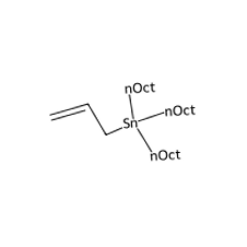 C=C[CH2][Sn]([CH2]CCCCCCC)([CH2]CCCCCCC)[CH2]CCCCCCC